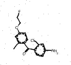 Cc1cc(OCCF)ccc1C(=O)c1ccc(N)cc1Cl